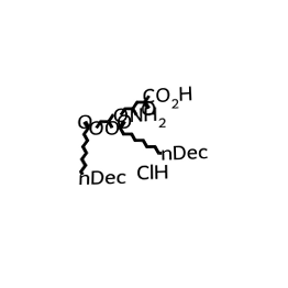 CCCCCCCCCCCCCCCCCC(=O)OCC(COCC(N)CC(=O)C(=O)O)OC(=O)CCCCCCCCCCCCCCCCC.Cl